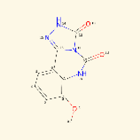 COc1cccc2c1[nH]c(=O)n1c(=O)[nH]nc21